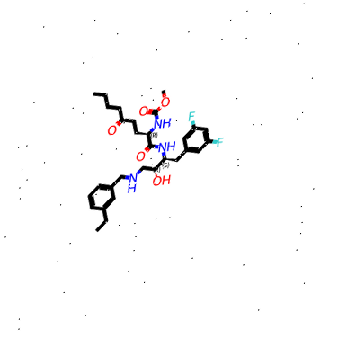 CCCCC(=O)CC[C@@H](NC(=O)OC)C(=O)N[C@@H](Cc1cc(F)cc(F)c1)[C@H](O)CNCc1cccc(CC)c1